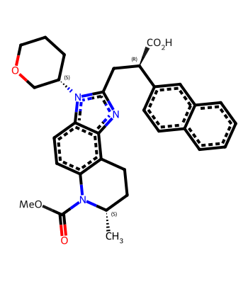 COC(=O)N1c2ccc3c(nc(C[C@@H](C(=O)O)c4ccc5ccccc5c4)n3[C@H]3CCCOC3)c2CC[C@@H]1C